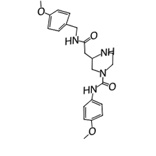 COc1ccc(CNC(=O)CC2CN(C(=O)Nc3ccc(OC)cc3)CCN2)cc1